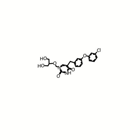 O=c1[nH]c(=O)n(COC(CO)CO)cc1Cc1cccc(Oc2cccc(Cl)c2)c1